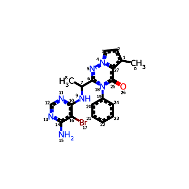 Cc1ccn2nc(C(C)Nc3ncnc(N)c3Br)n(-c3ccccc3)c(=O)c12